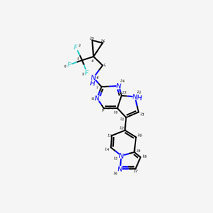 FC(F)(F)C1(CNc2ncc3c(-c4ccn5nccc5c4)c[nH]c3n2)CC1